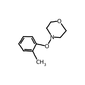 Cc1ccccc1ON1CCOCC1